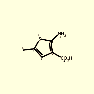 Cc1cc(C(=O)O)c(N)s1